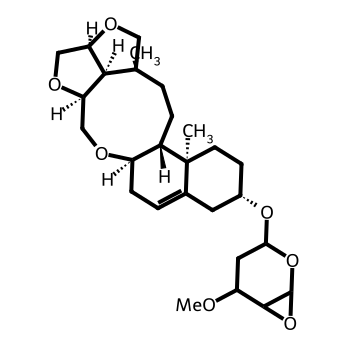 COC1CC(O[C@H]2CC[C@@]3(C)C(=CC[C@H]4OC[C@H]5OC[C@H]6OC[C@](C)(CC[C@@H]43)[C@H]65)C2)OC2OC12